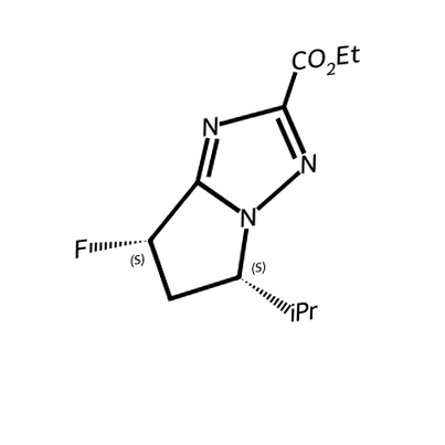 CCOC(=O)c1nc2n(n1)[C@H](C(C)C)C[C@@H]2F